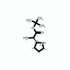 CC(C)(C)OC(=O)C(N)[C@@H]1CCCN1